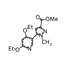 CCOc1cc(OCC)c(-c2cc(C(=O)OC)nn2C)cn1